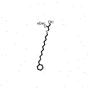 CCCCCCCCCCOC(CO)CSCCCCCCCCCCCCC1CCCCC1